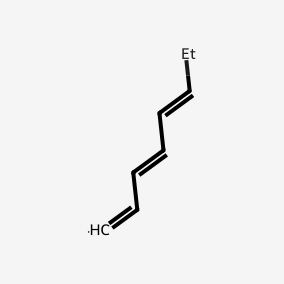 [CH]=CC=CC=CCC